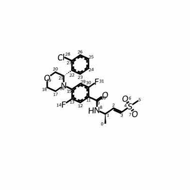 C[C@H](/C=C/S(C)(=O)=O)NC(=O)c1cc(F)c(N2CCOC[C@@H]2c2ccccc2Cl)cc1F